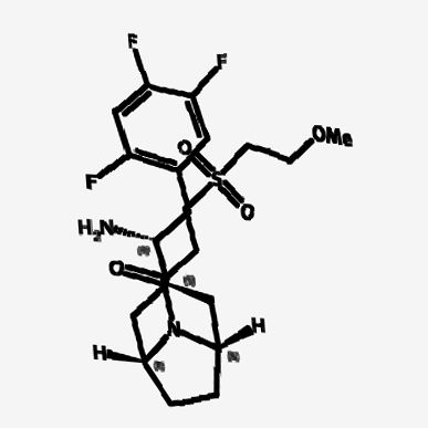 COCCS(=O)(=O)CCC(=O)N1[C@@H]2CC[C@H]1C[C@H]([C@H](N)Cc1cc(F)c(F)cc1F)C2